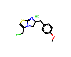 COc1ccc(CC2CN3C(CCl)=CSC3=N2)cc1.Cl